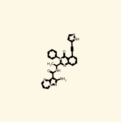 CC(NC(=O)c1c(N)nn2cccnc12)c1nc2cccc(C#Cc3ccn[nH]3)c2c(=O)n1-c1ccccc1